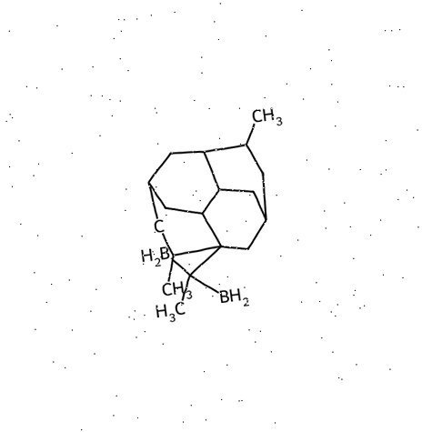 BC(B)(C)C12CC3CC(C)C4CC(CC1C)CC2C4C3